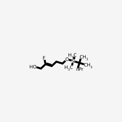 CCCC(C)(C)[Si](C)(C)OCC/C=C(\F)CO